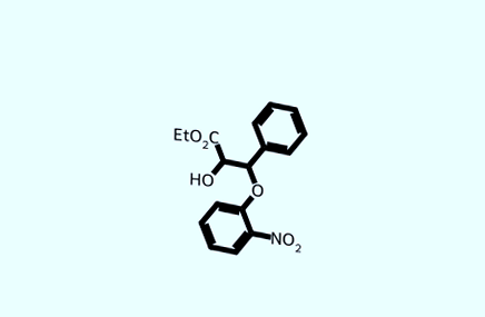 CCOC(=O)C(O)C(Oc1ccccc1[N+](=O)[O-])c1ccccc1